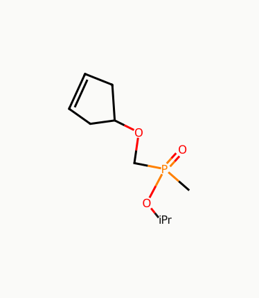 CC(C)OP(C)(=O)COC1CC=CC1